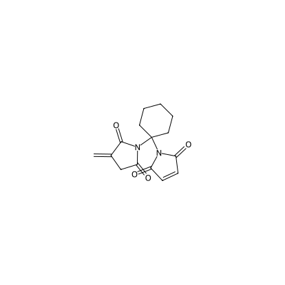 C=C1CC(=O)N(C2(N3C(=O)C=CC3=O)CCCCC2)C1=O